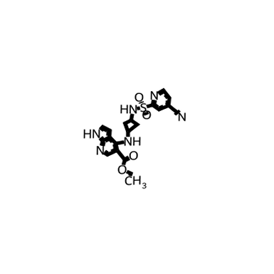 CCOC(=O)c1cnc2[nH]ccc2c1NC1CC(NS(=O)(=O)c2cc(C#N)ccn2)C1